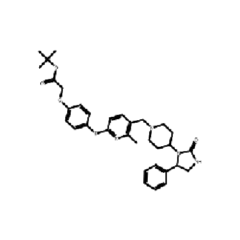 Cc1nc(Sc2ccc(OCC(=O)OC(C)(C)C)cc2)ccc1CN1CCC(N2C(=O)NCC2c2ccccc2)CC1